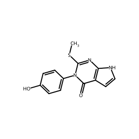 CSc1nc2[nH]ccc2c(=O)n1-c1ccc(O)cc1